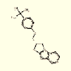 CC(C)(N)c1ccc(OC[C@@H]2Cn3c(nc4cnccc43)O2)cc1